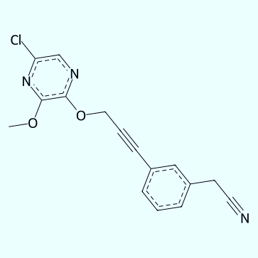 COc1nc(Cl)cnc1OCC#Cc1cccc(CC#N)c1